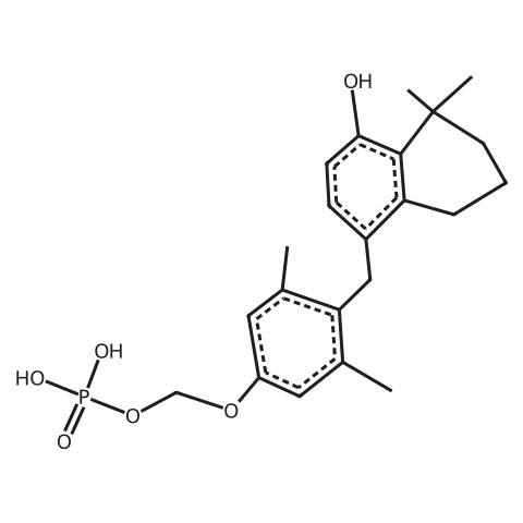 Cc1cc(OCOP(=O)(O)O)cc(C)c1Cc1ccc(O)c2c1CCCC2(C)C